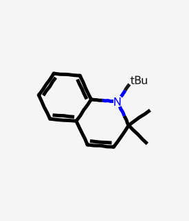 CC(C)(C)N1c2ccccc2C=CC1(C)C